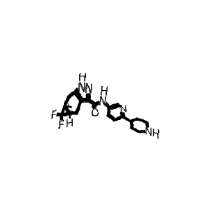 C[C@@]12Cc3[nH]nc(C(=O)Nc4ccc(C5CCNCC5)nc4)c3C[C@@H]1C2(F)F